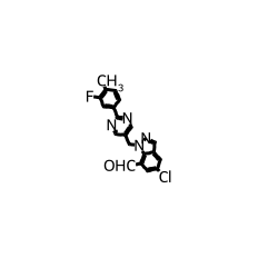 Cc1ccc(-c2ncc(Cn3ncc4cc(Cl)cc(C=O)c43)cn2)cc1F